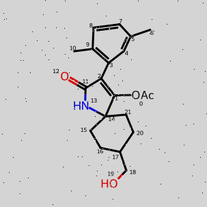 CC(=O)OC1=C(c2cc(C)ccc2C)C(=O)NC12CCC(CO)CC2